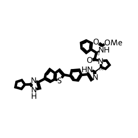 COC(=O)N[C@@H](C(=O)N1CCC[C@H]1c1ncc(-c2ccc(-c3cc4ccc(-c5c[nH]c(C6CCCC6)n5)cc4s3)cc2)[nH]1)c1ccccc1